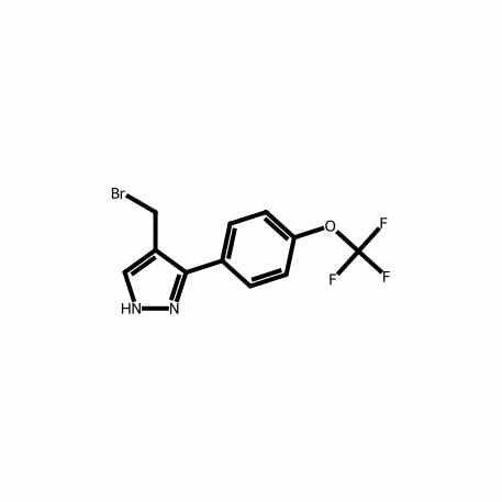 FC(F)(F)Oc1ccc(-c2n[nH]cc2CBr)cc1